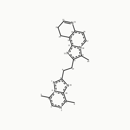 Cc1ncc(C)n2nc(CCc3nc4c5c(ccn4c3C)N=CCC5)nc12